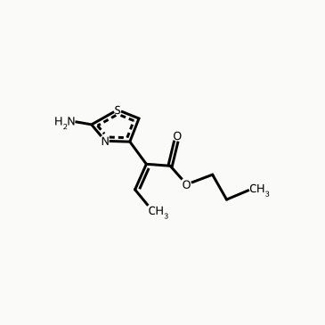 CC=C(C(=O)OCCC)c1csc(N)n1